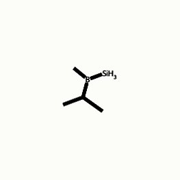 CB([SiH3])C(C)C